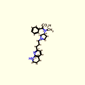 CN(C(C(=O)O)c1ccccc1)[C@H]1CCN(CCCc2ccc3c(n2)NCCC3)C1